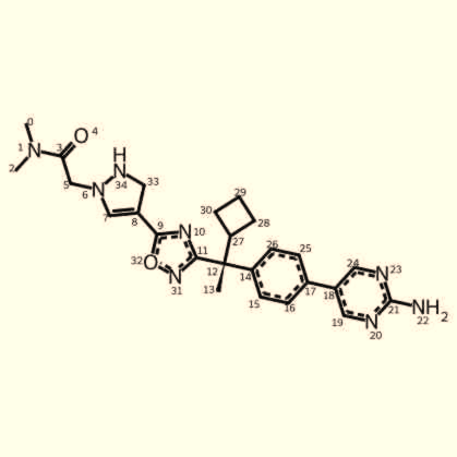 CN(C)C(=O)CN1C=C(c2nc([C@@](C)(c3ccc(-c4cnc(N)nc4)cc3)C3CCC3)no2)CN1